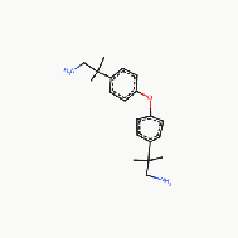 CC(C)(CN)c1ccc(Oc2ccc(C(C)(C)CN)cc2)cc1